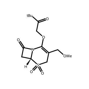 COCC1=C(OCC(=O)C(C)(C)C)N2C(=O)C[C@H]2S(=O)(=O)C1